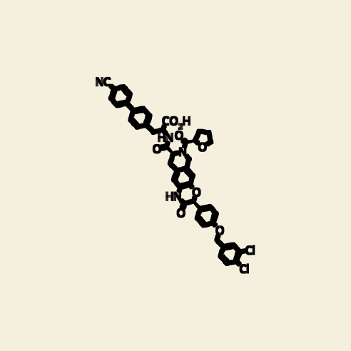 N#Cc1ccc(-c2ccc(CC(NC(=O)[C@@H]3Cc4cc5c(cc4CN3C(=O)[C@H]3CCCO3)O[C@@H](c3ccc(OCc4ccc(Cl)c(Cl)c4)cc3)C(=O)N5)C(=O)O)cc2)cc1